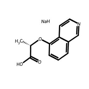 C[C@H](Oc1cccc2cnccc12)C(=O)O.[NaH]